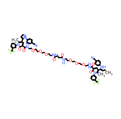 CC/C=C(\Nc1ccc(C#N)cc1)c1cc(C(=O)NCCOCCOCCOCCNC(=O)CCC(=O)NCCOCCOCCOCCNC(=O)c2cc(-c3ccnn3-c3ccc(C#N)cc3)c(C)n(-c3cccc(C(F)(F)F)c3)c2=O)c(=O)n(-c2cccc(C(F)(F)F)c2)c1C